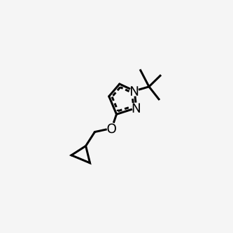 CC(C)(C)n1ccc(OCC2CC2)n1